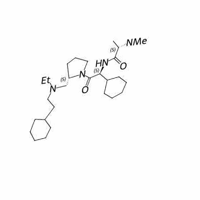 CCN(CCC1CCCCC1)C[C@@H]1CCCN1C(=O)[C@@H](NC(=O)[C@H](C)NC)C1CCCCC1